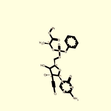 CC(C)OC(=O)[C@H](C)OP(=O)(OC[C@H]1O[C@@H](n2cnc(N)nc2=O)[C@@](Cl)(C#CCl)C1O)Oc1ccccc1